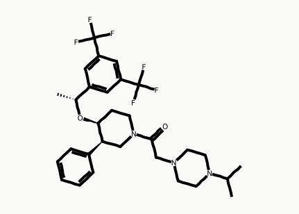 CC(C)N1CCN(CC(=O)N2CC[C@H](O[C@H](C)c3cc(C(F)(F)F)cc(C(F)(F)F)c3)[C@H](c3ccccc3)C2)CC1